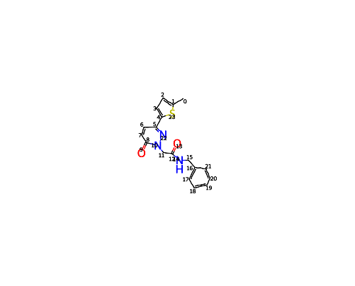 Cc1ccc(-c2ccc(=O)n(CC(=O)NCc3ccccc3)n2)s1